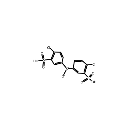 O=S(=O)(O)c1cc([S+]([O-])c2ccc(Cl)c(S(=O)(=O)O)c2)ccc1Cl